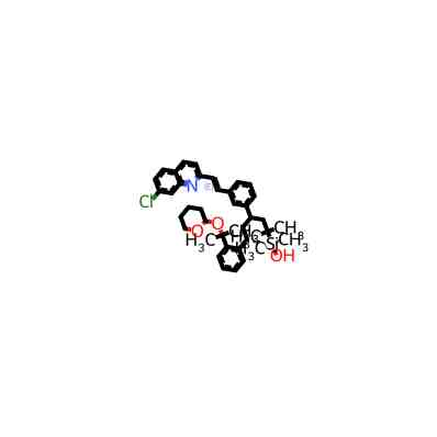 CC(C)(OC1CCCCO1)c1ccccc1CCC(CC(C)(C)[Si](C)(C)O)c1cccc(/C=C/c2ccc3ccc(Cl)cc3n2)c1